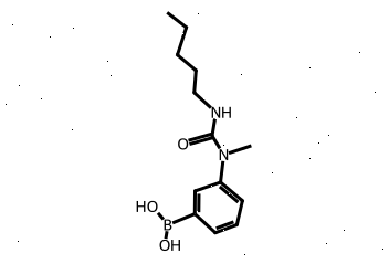 CCCCCNC(=O)N(C)c1cccc(B(O)O)c1